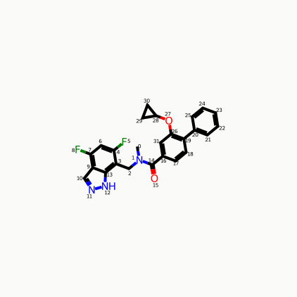 CN(Cc1c(F)cc(F)c2cn[nH]c12)C(=O)c1ccc(-c2ccccc2)c(OC2CC2)c1